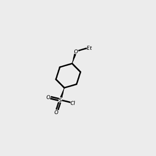 CCO[C@H]1CC[C@@H](S(=O)(=O)Cl)CC1